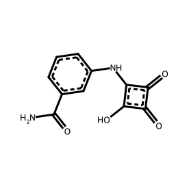 NC(=O)c1cccc(Nc2c(O)c(=O)c2=O)c1